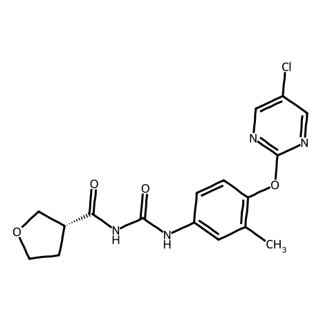 Cc1cc(NC(=O)NC(=O)[C@@H]2CCOC2)ccc1Oc1ncc(Cl)cn1